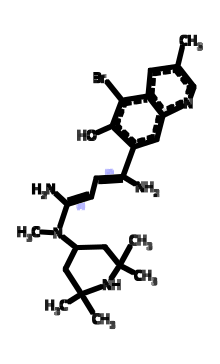 Cc1cnc2cc(/C(N)=C/C=C(\N)N(C)C3CC(C)(C)NC(C)(C)C3)c(O)c(Br)c2c1